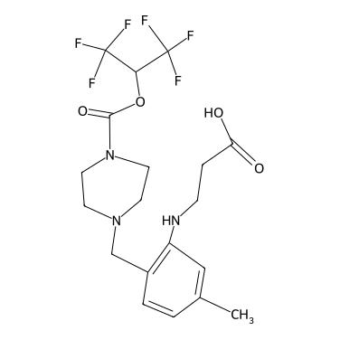 Cc1ccc(CN2CCN(C(=O)OC(C(F)(F)F)C(F)(F)F)CC2)c(NCCC(=O)O)c1